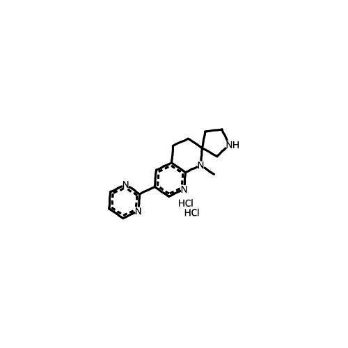 CN1c2ncc(-c3ncccn3)cc2CCC12CCNC2.Cl.Cl